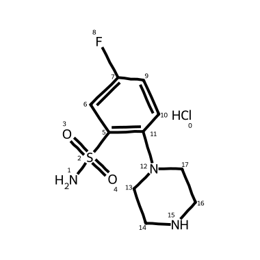 Cl.NS(=O)(=O)c1cc(F)ccc1N1CCNCC1